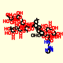 CC(=O)OC1C(C)OC(OC2C(C)OC(OC(=O)[C@@]3(O)C[C@]4(C)C(=CCC5[C@@]6(C)CC[C@H](OC7OC(C(=O)NCCn8nnc9cccnc98)C(O)C(OC8OCC(O)C(O)C8O)C7OC7OC(CO)C(O)C(O)C7O)[C@@](C)(C=O)C6CC[C@]54C)C4CC(C)(C)CCC43)C(OC3OC(C)C(OC4OCC(O)C(OC5OC(CO)C(O)C(O)C5O)C4O)C(O)C3O)C2O)C(O)C1OC1OCC(O)C(O)C1O